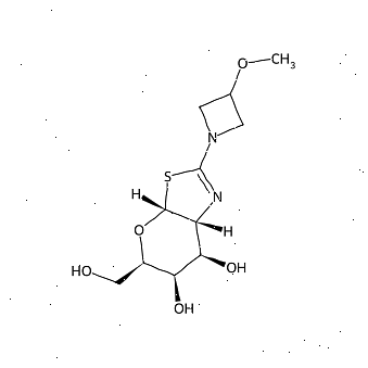 COC1CN(C2=N[C@@H]3[C@@H](O)[C@@H](O)[C@@H](CO)O[C@@H]3S2)C1